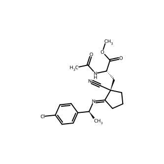 COC(=O)[C@H](C[C@@]1(C#N)CCC/C1=N\[C@@H](C)c1ccc(Cl)cc1)NC(C)=O